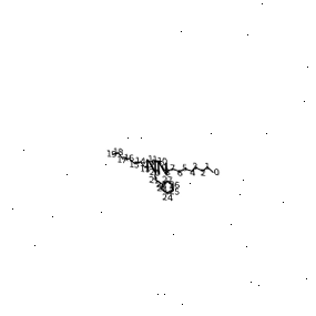 CCCCCCCCCN1C=CN(CCCCCCC)C1Cc1ccccc1